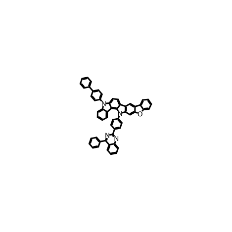 c1ccc(-c2ccc(-n3c4ccccc4c4c3ccc3c5cc6c(cc5n(-c5ccc(-c7nc(-c8ccccc8)c8ccccc8n7)cc5)c34)oc3ccccc36)cc2)cc1